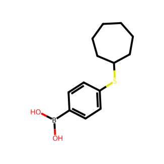 OB(O)c1ccc(SC2CCCCCC2)cc1